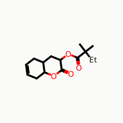 CCC(C)(C)C(=O)OC1CC2CC=CCC2OC1=O